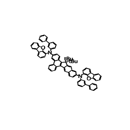 CC(C)(C)C1(C(C)(C)C)c2cc3cc(N(c4cccc(-c5ccccc5)c4)c4cccc5c4oc4ccccc45)ccc3cc2-c2c1c1ccc(N(c3cccc(-c4ccccc4)c3)c3cccc4c3oc3ccccc34)cc1c1ccccc21